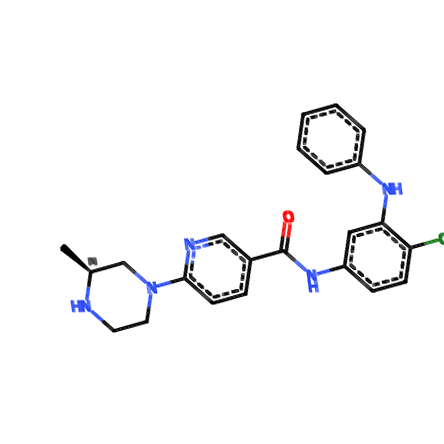 C[C@H]1CN(c2ccc(C(=O)Nc3ccc(Cl)c(Nc4ccccc4)c3)cn2)CCN1